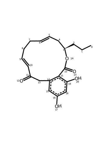 CCC[C@@H]1C/C=C/CC/C=C/C(=O)Cc2cc(O)cc(O)c2C(=O)O1